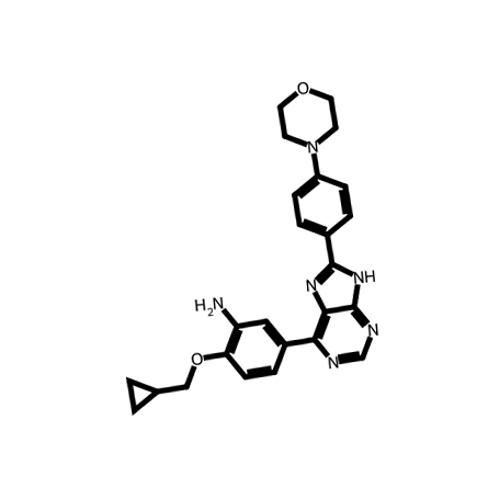 Nc1cc(-c2ncnc3[nH]c(-c4ccc(N5CCOCC5)cc4)nc23)ccc1OCC1CC1